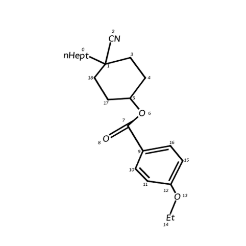 CCCCCCCC1(C#N)CCC(OC(=O)c2ccc(OCC)cc2)CC1